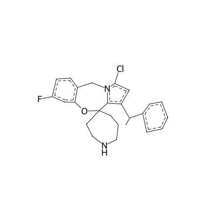 CC(c1ccccc1)c1cc(Cl)n2c1C1(CCCNCC1)Oc1cc(F)ccc1C2